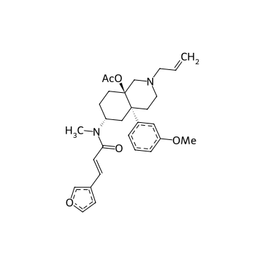 C=CCN1CC[C@@]2(c3cccc(OC)c3)C[C@H](N(C)C(=O)/C=C/c3ccoc3)CC[C@]2(OC(C)=O)C1